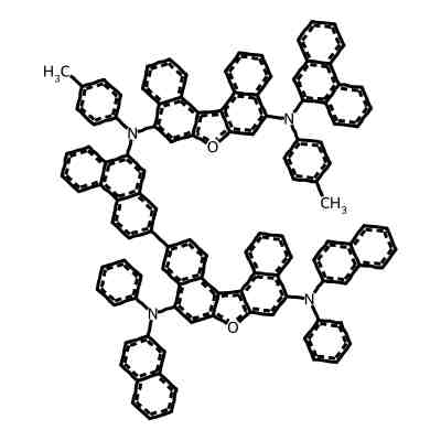 Cc1ccc(N(c2cc3ccccc3c3ccccc23)c2cc3oc4cc(N(c5ccc(C)cc5)c5cc6cc(-c7ccc8c(c7)c(N(c7ccccc7)c7ccc9ccccc9c7)cc7oc9cc(N(c%10ccccc%10)c%10ccc%11ccccc%11c%10)c%10ccccc%10c9c78)ccc6c6ccccc56)c5ccccc5c4c3c3ccccc23)cc1